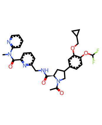 CC(=O)N1CC(c2ccc(OC(F)F)c(OCC3CC3)c2)C[C@@H]1C(=O)NCc1cccc(C(=O)N(C)c2ccccn2)n1